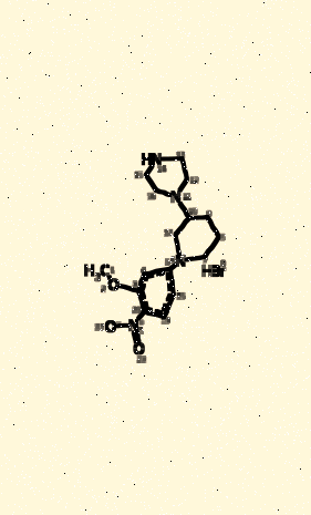 Br.COc1cc(N2CCCC(N3CCNCC3)C2)ccc1[N+](=O)[O-]